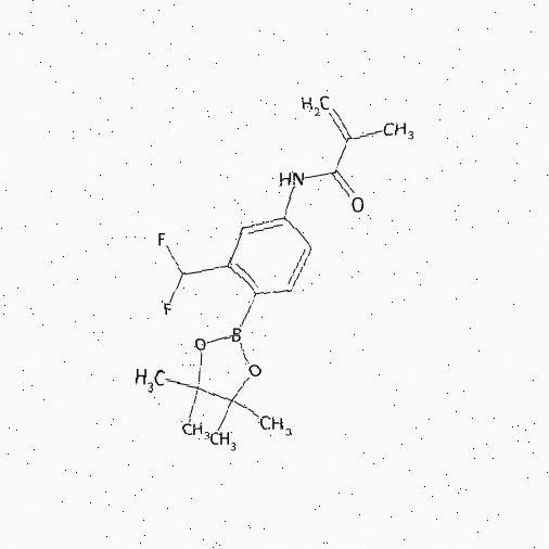 C=C(C)C(=O)Nc1ccc(B2OC(C)(C)C(C)(C)O2)c(C(F)F)c1